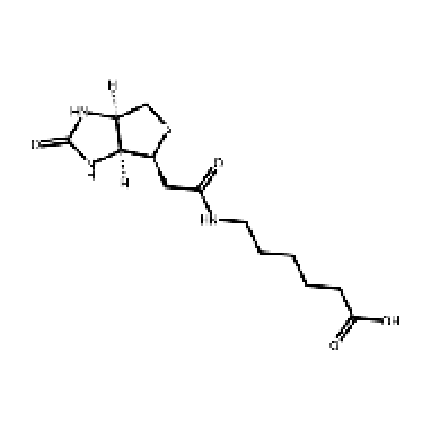 O=C(O)CCCCCNC(=O)C[C@@H]1SC[C@@H]2NC(=O)N[C@@H]21